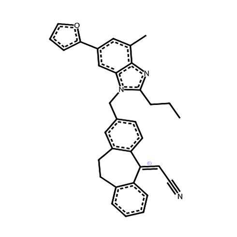 CCCc1nc2c(C)cc(-c3ccco3)cc2n1Cc1ccc2c(c1)CCc1ccccc1/C2=C\C#N